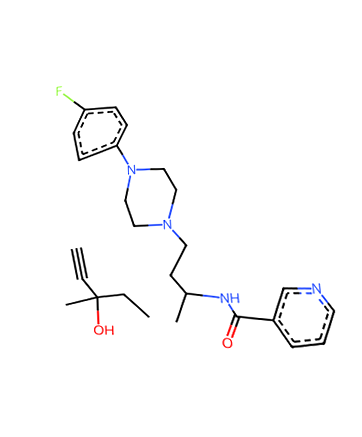 C#CC(C)(O)CC.CC(CCN1CCN(c2ccc(F)cc2)CC1)NC(=O)c1cccnc1